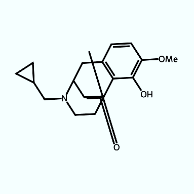 COc1ccc2c(c1O)C13CCN(CC4CC4)C(C2)C1CCC(=O)C3